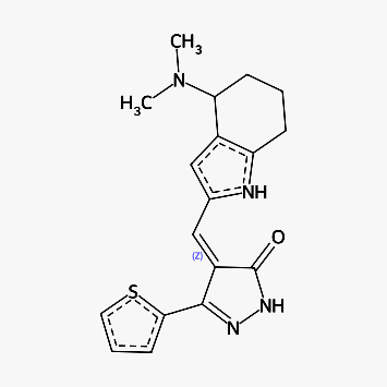 CN(C)C1CCCc2[nH]c(/C=C3\C(=O)NN=C3c3cccs3)cc21